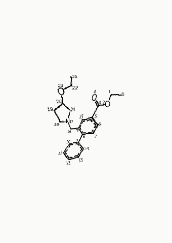 CCOC(=O)c1ccc(-c2ccccc2)c(CN2CCC(OCC)C2)c1